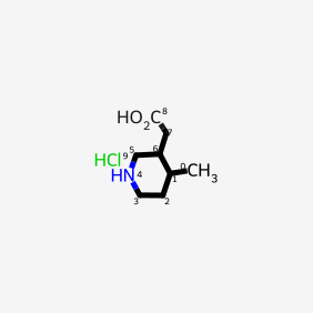 CC1CCNCC1CC(=O)O.Cl